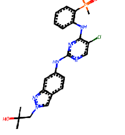 CC(C)(O)Cn1cc2ccc(Nc3ncc(Cl)c(Nc4ccccc4P(C)(C)=O)n3)cc2n1